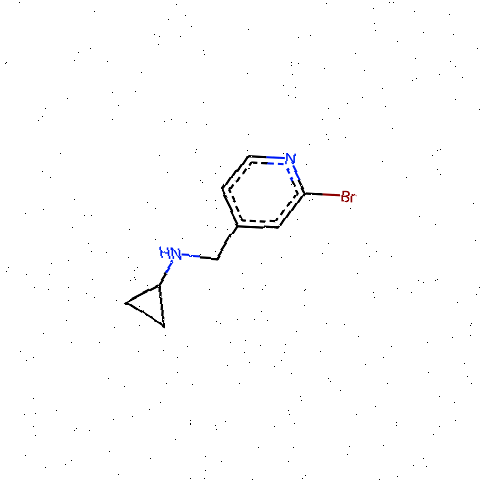 Brc1cc(CNC2CC2)ccn1